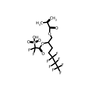 C=C(C)C(=O)OCC(CCC(F)(F)C(F)(F)C(F)(F)F)OC(=O)C(F)(F)S(=O)(=O)O